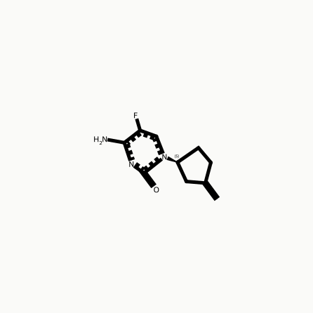 C=C1CC[C@H](n2cc(F)c(N)nc2=O)C1